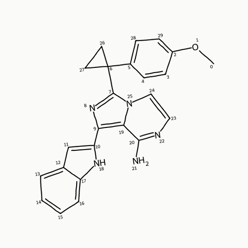 COc1ccc(C2(c3nc(-c4cc5ccccc5[nH]4)c4c(N)nccn34)CC2)cc1